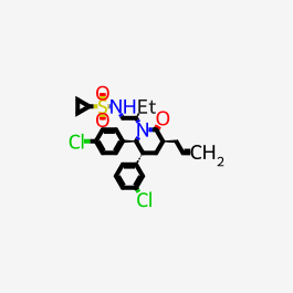 C=CC[C@H]1C[C@H](c2cccc(Cl)c2)[C@@H](c2ccc(Cl)cc2)N([C@@H](CC)CNS(=O)(=O)C2CC2)C1=O